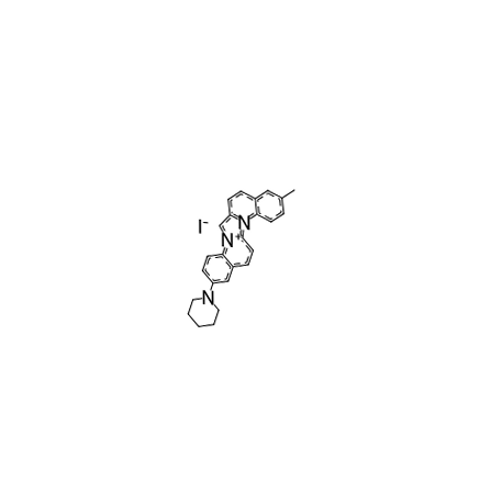 Cc1ccc2c(ccc3c[n+]4c5ccc(N6CCCCC6)cc5ccc4n32)c1.[I-]